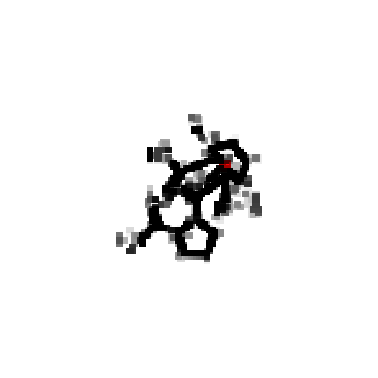 NC(=O)[C@@H]1CCCN1C(=O)[C@@H]1[C@@H]2CC[C@@H](C[C@H]2O)N1C(=O)O